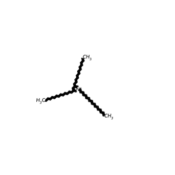 CCCCCCCCCCCCCCCCCCC[n+]1cc(CCCCCCCCCCCCCC)cc(CCCCCCCCCCCCCC)c1